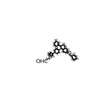 O=CCCn1cc(-c2ccc([C@@H]3c4ccc(OCc5ccccc5)cc4CCC3c3ccccc3)cc2)cn1